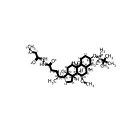 COCC(=O)NNC(=O)CC[C@@H](C)[C@H]1CC[C@H]2[C@@H]3[C@H](OC)C[C@@H]4C[C@H](O[Si](C)(C)C(C)(C)C)CC[C@]4(C)[C@H]3CC[C@]12C